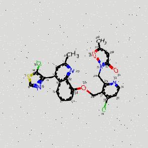 Cc1cc(-c2ncsc2Cl)c2cccc(OCc3c(Cl)ccnc3Cn3oc(C)cc3=O)c2n1